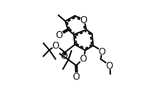 COCOc1cc2occ(C)c(=O)c2c(C(=O)OC(C)(C)C)c1OC(=O)C(C)(C)C